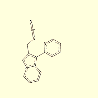 [N-]=[N+]=NCc1cn2ccccc2c1-c1ccccn1